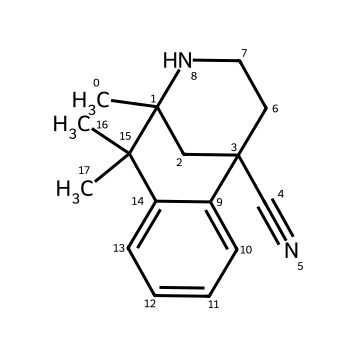 CC12CC(C#N)(CCN1)c1ccccc1C2(C)C